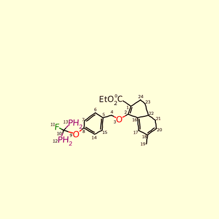 CCOC(=O)C1=C(OCc2ccc(OC(F)(P)P)cc2)C2=CC(C)=CCC2CC1